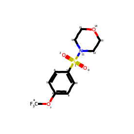 O=S(=O)(c1ccc(OC(F)(F)F)cc1)N1CCOCC1